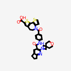 O=C(O)c1cc2c(s1)-c1sccc1N(C(=O)c1ccc(NC(=O)c3cc4c(nc3N3CC5(CCOCC5)C3)CCC4)cc1)CC2